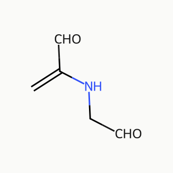 C=C(C=O)NCC=O